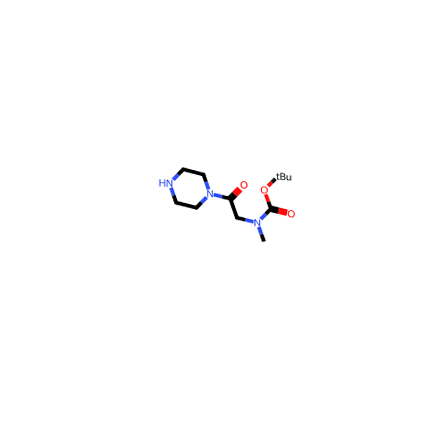 CN(CC(=O)N1CCNCC1)C(=O)OC(C)(C)C